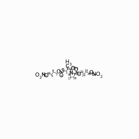 C[C@H](CSC(=O)OCCCCO[N+](=O)[O-])C(=O)N1CCC[C@H]1C(=O)OCCCCO[N+](=O)[O-]